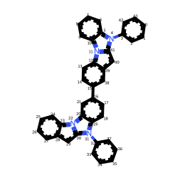 c1ccc(-n2c3ccccc3n3c4ccc(-c5ccc6c(c5)n5c7ccccc7cc5n6-c5ccccc5)cc4cc23)cc1